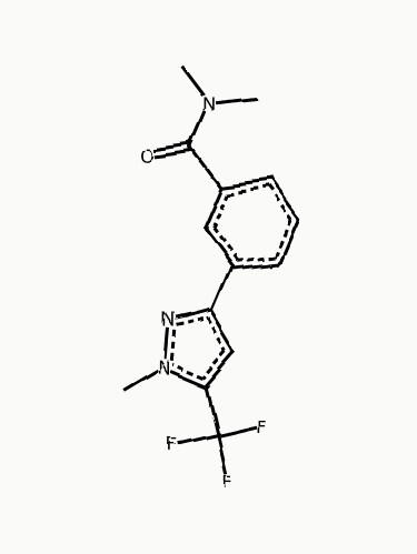 CN(C)C(=O)c1cccc(-c2cc(C(F)(F)F)n(C)n2)c1